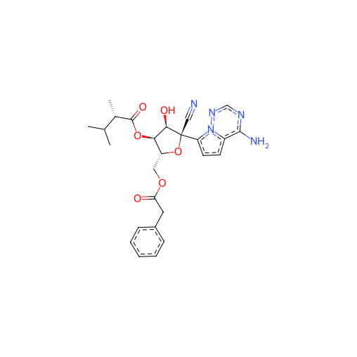 CC(C)[C@H](C)C(=O)O[C@H]1[C@@H](O)[C@](C#N)(c2ccc3c(N)ncnn23)O[C@@H]1COC(=O)Cc1ccccc1